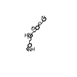 COc1cc(OCc2cccnc2)ccc1C=Cc1cc(C=Cc2ccc3[nH]ccc3c2)n[nH]1